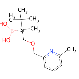 Cc1cccc(COC[Si](C)(B(O)O)C(C)(C)C)n1